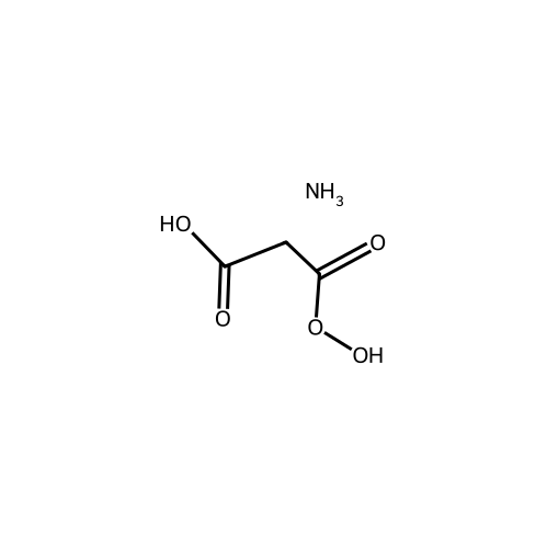 N.O=C(O)CC(=O)OO